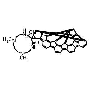 CN1CCCN(C)CCN[C@@H](O)C2(C(=O)NCC1)C1c3c4ccc5c6ccc7c8ccc9c%10ccc%11c(c%12c3c3c4c5c4c6c7c5c8c9c6c%10c%11c%12c7c3c4c5c67)C12